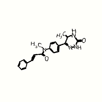 CC1NC(=O)NN=C1c1ccc(N(C)C(=O)C=Cc2ccccc2)cc1